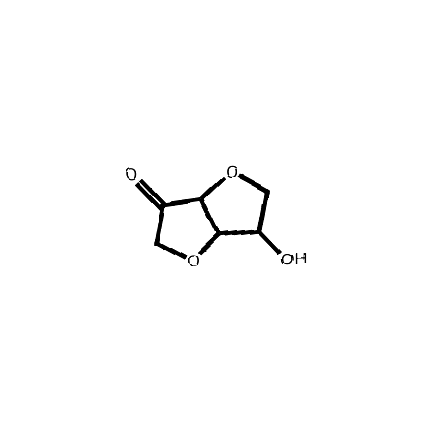 O=C1COC2C(O)COC12